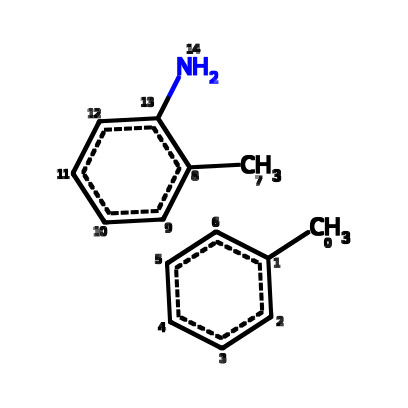 Cc1ccccc1.Cc1ccccc1N